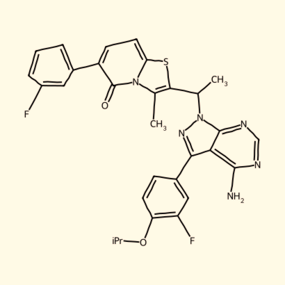 Cc1c(C(C)n2nc(-c3ccc(OC(C)C)c(F)c3)c3c(N)ncnc32)sc2ccc(-c3cccc(F)c3)c(=O)n12